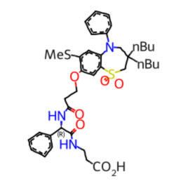 CCCCC1(CCCC)CN(c2ccccc2)c2cc(SC)c(OCCC(=O)N[C@@H](C(=O)NCCC(=O)O)c3ccccc3)cc2S(=O)(=O)C1